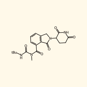 CN(C(=O)NC(C)(C)C)C(=O)c1cccc2c1C(=O)N(C1CCC(=O)NC1=O)C2